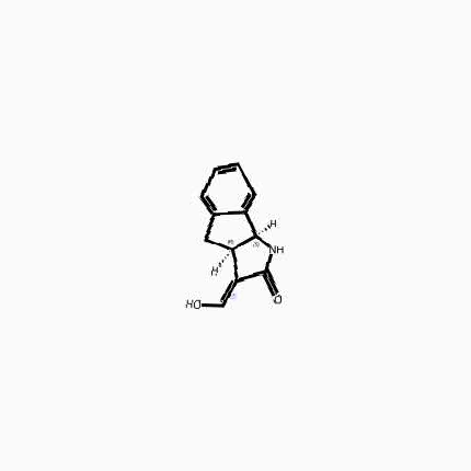 O=C1N[C@@H]2c3ccccc3C[C@@H]2/C1=C\O